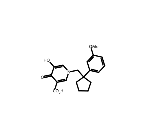 COc1cccc(C2(Cn3cc(O)c(=O)c(C(=O)O)c3)CCCC2)c1